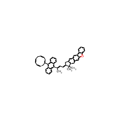 C/C(=C\C=C1/Cc2cc3cc4c(cc3cc2C1(C)C)oc1ccccc14)c1c2ccccc2c(/C2=C/C=C\C/C=C\C=C/C2)c2ccccc12